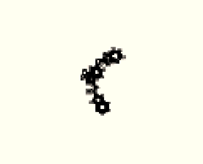 O=CO.c1ccc2c(c1)CC(NCc1coc3cc(Oc4nc5ncccc5s4)ccc13)C2